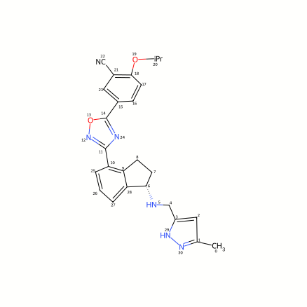 Cc1cc(CN[C@H]2CCc3c(-c4noc(-c5ccc(OC(C)C)c(C#N)c5)n4)cccc32)[nH]n1